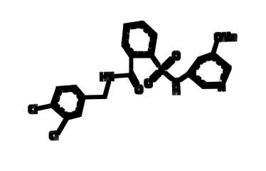 COc1cncc(NS(=O)(=O)c2ccccc2C(=O)NCc2ccc(Cl)c(Cl)c2)c1